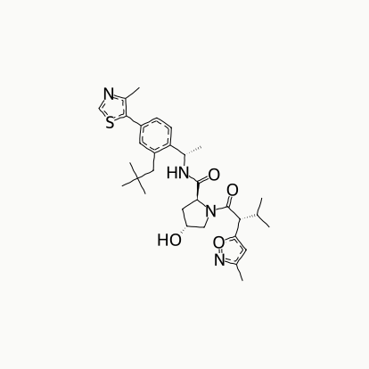 Cc1cc([C@H](C(=O)N2C[C@H](O)C[C@H]2C(=O)N[C@@H](C)c2ccc(-c3scnc3C)cc2CC(C)(C)C)C(C)C)on1